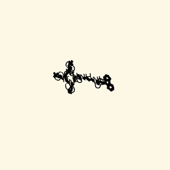 CC(C)(C)OC(=O)CN1CCN(CC(=O)NCCCCCNC(=O)OCC2c3ccccc3-c3ccccc32)CCN(CC(=O)OC(C)(C)C)CCN(CC(=O)OC(C)(C)C)CC1